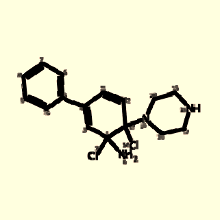 NC1(Cl)C=C(c2ccccc2)C=CC1(Cl)N1CCNCC1